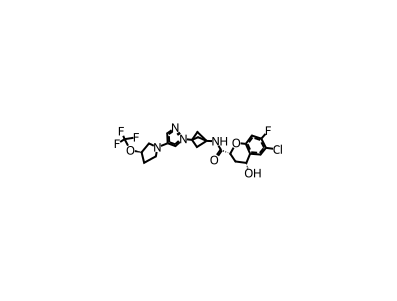 O=C(NC12CC(n3cc(N4CC[C@@H](OC(F)(F)F)C4)cn3)(C1)C2)[C@H]1C[C@@H](O)c2cc(Cl)c(F)cc2O1